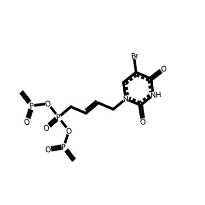 C=P(=O)OP(=O)(C/C=C/Cn1cc(Br)c(=O)[nH]c1=O)OP(=C)=O